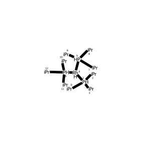 CC(C)[PH](C(C)C)(C(C)C)[RhH]([PH](C(C)C)(C(C)C)C(C)C)[PH](C(C)C)(C(C)C)C(C)C